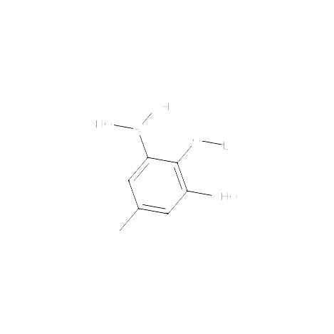 CCOc1c(C=O)cc(C)cc1B(O)O